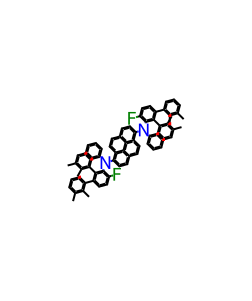 Cc1cccc(-c2ccc(F)c(N(c3ccccc3)c3ccc4ccc5c(N(c6ccccc6)c6c(F)ccc(-c7cccc(C)c7C)c6-c6cccc(C)c6C)ccc6ccc3c4c65)c2-c2cccc(C)c2C)c1C